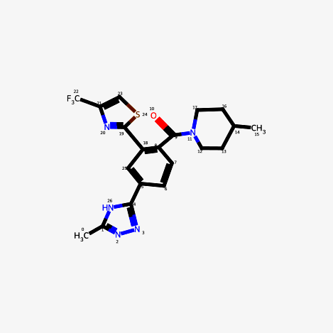 Cc1nnc(-c2ccc(C(=O)N3CCC(C)CC3)c(-c3nc(C(F)(F)F)cs3)c2)[nH]1